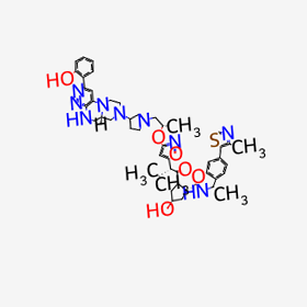 Cc1ncsc1-c1ccc([C@H](C)NC(=O)[C@@H]2C[C@@H](O)CC2C(=O)[C@@H](c2cc(O[C@@H](C)CN3CCC(N4CCN5c6cc(-c7ccccc7O)nnc6NC[C@H]5C4)C3)no2)C(C)C)cc1